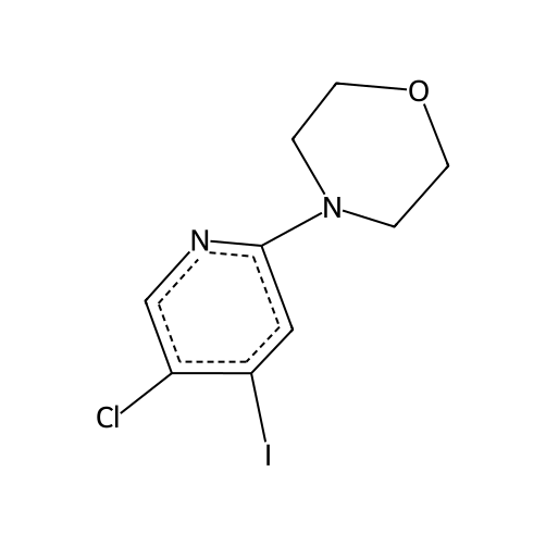 Clc1cnc(N2CCOCC2)cc1I